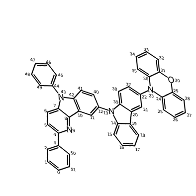 c1ccc(-c2ccc3c(n2)c2cc(-n4c5ccccc5c5cc(N6c7ccccc7Oc7ccccc76)ccc54)ccc2n3-c2ccccc2)cc1